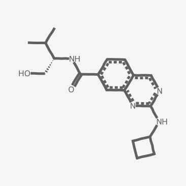 CC(C)[C@@H](CO)NC(=O)c1ccc2cnc(NC3CCC3)nc2c1